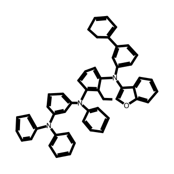 CCc1c(N(c2ccccc2)c2cccc(N(c3ccccc3)c3ccccc3)c2)cccc1N(c1cccc(C2=CC=CCC2)c1)c1coc2ccccc12